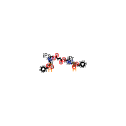 CC(C)C(COC(=O)/C=C/C(=O)OCC(C(C)C)[N+](C)(C)CC[PH](=O)OCc1ccccc1)[N+](C)(C)CC[PH](=O)OCc1ccccc1